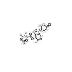 Cc1ncc2c(c1OC(=O)[C@@H](O[N+](=O)[O-])C(C)C)COC2c1ccc(Cl)cc1